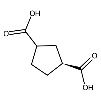 O=C(O)C1CC[C@H](C(=O)O)C1